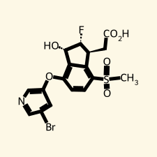 CS(=O)(=O)c1ccc(Oc2cncc(Br)c2)c2c1[C@H](CC(=O)O)[C@@H](F)[C@H]2O